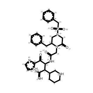 N=C(N)C(C1CCCNC1)C(NC(=O)CN1C(=O)CN(S(=O)(=O)Cc2ccccc2)CC1Cc1ccccc1)C(=O)c1nccs1